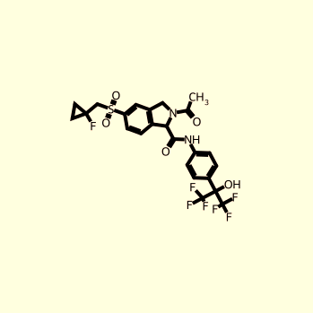 CC(=O)N1Cc2cc(S(=O)(=O)CC3(F)CC3)ccc2C1C(=O)Nc1ccc(C(O)(C(F)(F)F)C(F)(F)F)cc1